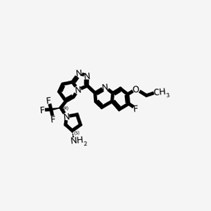 CCOc1cc2nc(-c3nnc4ccc([C@@H](N5CC[C@H](N)C5)C(F)(F)F)cn34)ccc2cc1F